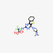 CN(C)[C@@H]1CCN(c2nc(N)nc3c4c(sc23)CCCC4)C1.O=C(O)C(F)(F)F